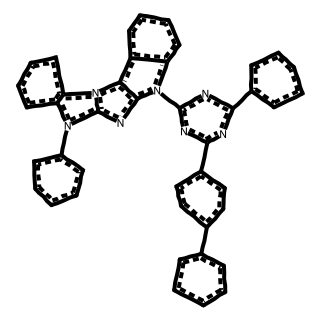 c1ccc(-c2ccc(-c3nc(-c4ccccc4)nc(-n4c5ccccc5c5c4nc4n(-c6ccccc6)c6ccccc6n54)n3)cc2)cc1